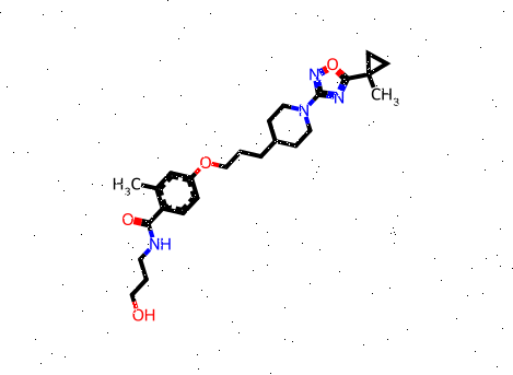 Cc1cc(OCCCC2CCN(c3noc(C4(C)CC4)n3)CC2)ccc1C(=O)NCCCO